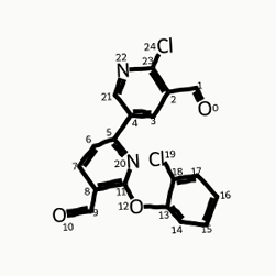 O=Cc1cc(-c2ccc(C=O)c(Oc3ccccc3Cl)n2)cnc1Cl